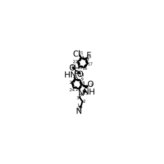 N#CCCn1[nH]c(=O)c2cc(NS(=O)(=O)c3ccc(F)c(Cl)c3)ccc21